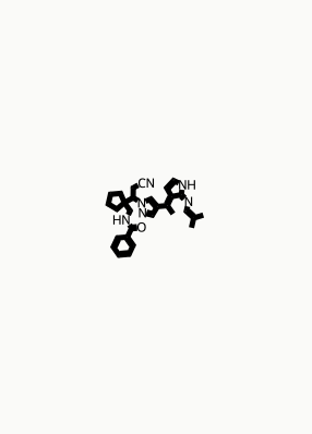 CC(C)=C/N=C1/NC=C/C1=C(/C)c1cnn(C(CC#N)C2(CNC(=O)c3ccccc3)CCCC2)c1